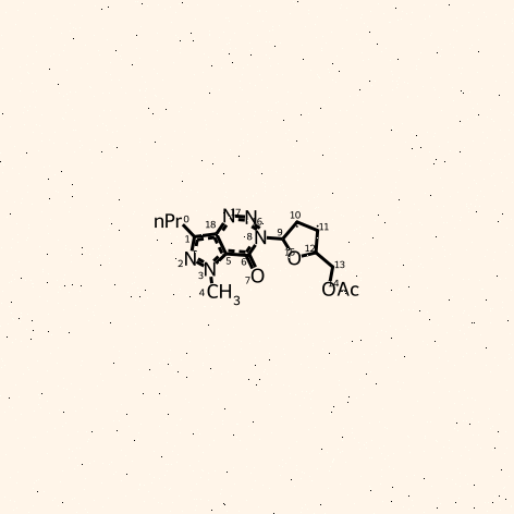 CCCc1nn(C)c2c(=O)n(C3[CH][CH]C(COC(C)=O)O3)nnc12